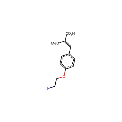 CO/C(=C\c1ccc(OCCI)cc1)C(=O)O